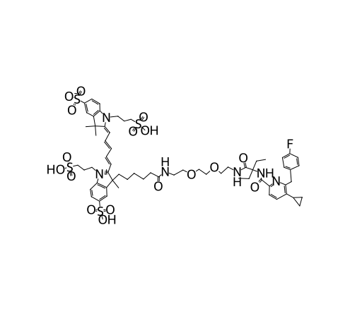 CCC(CC)(NC(=O)c1ccc(C2CC2)c(Cc2ccc(F)cc2)n1)C(=O)NCCOCCOCCNC(=O)CCCCCC1(C)C(/C=C/C=C/C=C2/N(CCCS(=O)(=O)O)c3ccc(S(=O)(=O)[O-])cc3C2(C)C)=[N+](CCCS(=O)(=O)O)c2ccc(S(=O)(=O)O)cc21